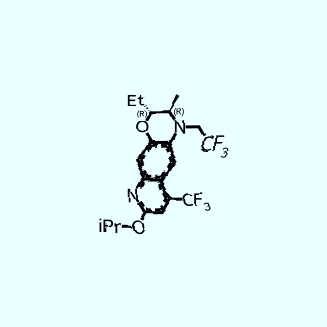 CC[C@H]1Oc2cc3nc(OC(C)C)cc(C(F)(F)F)c3cc2N(CC(F)(F)F)[C@@H]1C